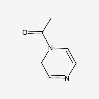 CC(=O)N1C=CN=CC1